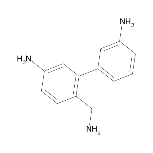 NCc1ccc(N)cc1-c1cccc(N)c1